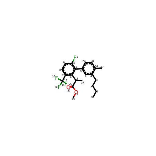 CCCCc1cc(-c2c(F)ccc(C(F)(F)F)c2C(C)C(=O)OC)ccc1C